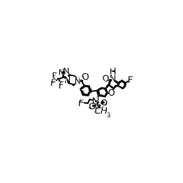 CS(=O)(=O)N(CCF)c1cc2oc3c4ccc(F)cc4[nH]c(=O)c3c2cc1-c1cccc(C(=O)N2CCn3c(nnc3C(F)(F)F)C2)c1